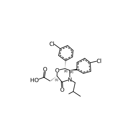 CC(C)CN1C(=O)[C@H](CC(=O)O)O[C@H](c2cccc(Cl)c2)[C@H]1c1ccc(Cl)cc1